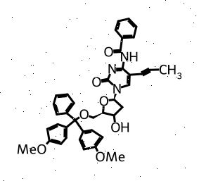 CC#Cc1cn([C@H]2CC(O)[C@@H](COC(c3ccccc3)(c3ccc(OC)cc3)c3ccc(OC)cc3)O2)c(=O)nc1NC(=O)c1ccccc1